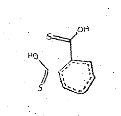 OC(=S)c1ccccc1.OC=S